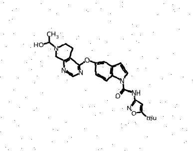 CC(O)N1CCc2c(ncnc2Oc2ccc3c(ccn3C(=O)Nc3cc(C(C)(C)C)on3)c2)C1